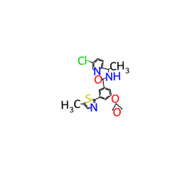 Cc1cnc(-c2cc(OC3COC3)cc(C(=O)NC(C)c3ccc(Cl)cn3)c2)s1